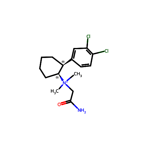 C[N+](C)(CC(N)=O)[C@H]1CCCC[C@H]1c1ccc(Cl)c(Cl)c1